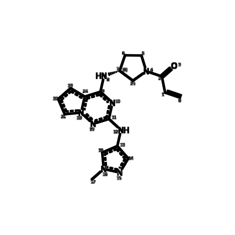 C=CC(=O)N1CC[C@@H](Nc2nc(Nc3cnn(C)c3)nn3cccc23)C1